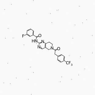 O=C(Nc1ncc2c(n1)CCN(C(=O)Cc1ccc(C(F)(F)F)cc1)C2)c1cccc(F)c1